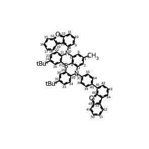 Cc1cc2c3c(c1)N(c1cccc4oc5ccccc5c14)c1ccc(C(C)(C)C)cc1B3c1cc(C(C)(C)C)ccc1N2c1ccc(-c2cccc3c2oc2ccccc23)cc1